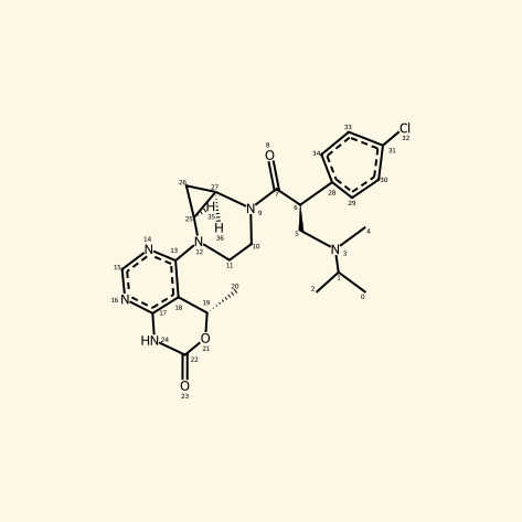 CC(C)N(C)C[C@@H](C(=O)N1CCN(c2ncnc3c2[C@H](C)OC(=O)N3)[C@H]2C[C@H]21)c1ccc(Cl)cc1